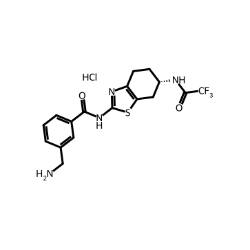 Cl.NCc1cccc(C(=O)Nc2nc3c(s2)C[C@@H](NC(=O)C(F)(F)F)CC3)c1